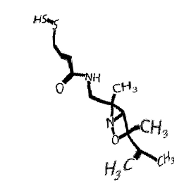 CC(C)C1(C)ON2C1C2(C)CNC(=O)CCSS